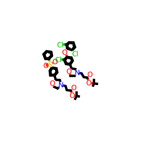 CC(C)(C)OC(=O)CCN1CCOC(c2ccc(Oc3c(Cl)cccc3Cl)c(Cl)c2)C1.CC(C)(C)OC(=O)CCN1CCOC(c2ccc(S(=O)(=O)c3ccccc3)cc2)C1